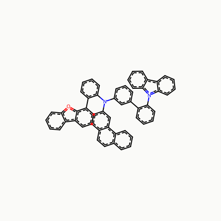 c1cc(-c2ccccc2-n2c3ccccc3c3ccccc32)cc(N(c2ccc3ccc4ccccc4c3c2)c2ccccc2-c2cccc3c2oc2ccccc23)c1